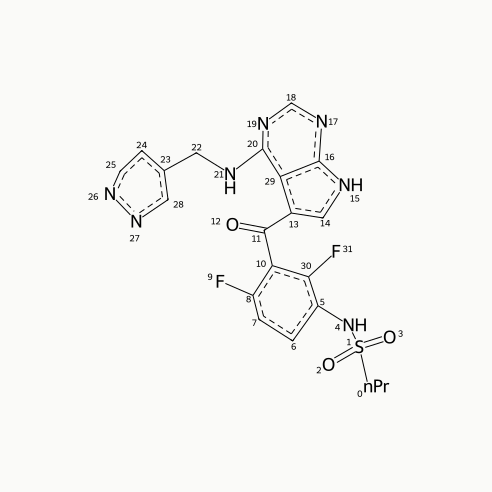 CCCS(=O)(=O)Nc1ccc(F)c(C(=O)c2c[nH]c3ncnc(NCc4ccnnc4)c23)c1F